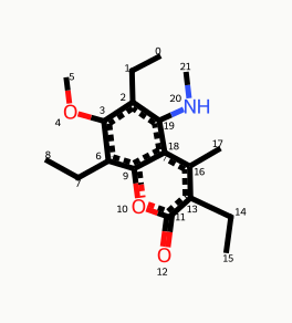 CCc1c(OC)c(CC)c2oc(=O)c(CC)c(C)c2c1NC